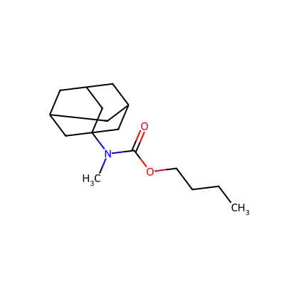 CCCCOC(=O)N(C)C12CC3CC(CC(C3)C1)C2